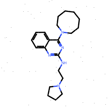 c1ccc2c(N3CCCCCCC3)nc(NCCN3CCCC3)nc2c1